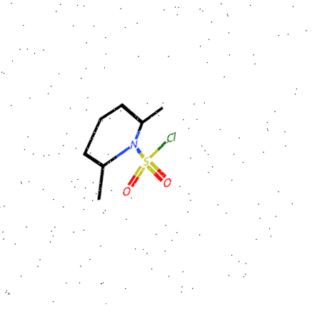 CC1CCCC(C)N1S(=O)(=O)Cl